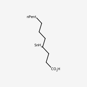 CCCCCCCCCCCC(=O)O.[SnH4]